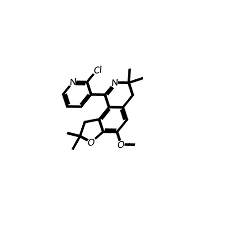 COc1cc2c(c3c1OC(C)(C)C3)C(c1cccnc1Cl)=NC(C)(C)C2